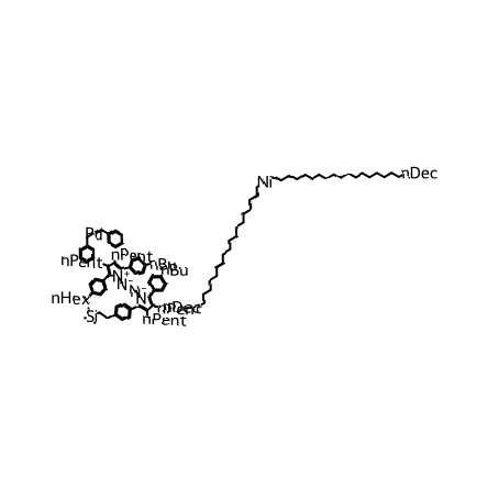 CCCCCC1=C(c2ccc(CCCC)cc2)[N+](=[N-])C(c2ccc(CC[Si](C)(C)C)cc2)=C1CCCCC.CCCCCCCCCCCCCCCCCCCCCCCCCCC[CH2][Ni][CH2]CCCCCCCCCCCCCCCCCCCCCCCCCCC.CCCCCCc1ccc(C2=C(CCCCC)C(CCCCC)=C(c3ccc(CCCC)cc3)[N+]2=[N-])cc1.c1ccc([CH2][Pd][CH2]c2ccccc2)cc1